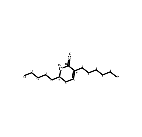 CCCCCCC1=CCC(CCCCC)OC1=O